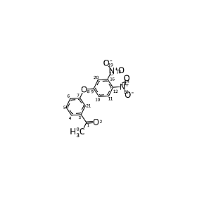 CC(=O)c1cccc(Oc2ccc([N+](=O)[O-])c([N+](=O)[O-])c2)c1